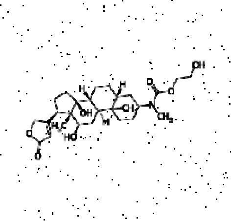 CN(C(=O)OCCO)[C@H]1CC[C@@]2(C)[C@H](CC[C@@H]3[C@@H]2C[C@@H](O)[C@]2(C)[C@@H](C4=CC(=O)OC4)CC[C@]32O)C1